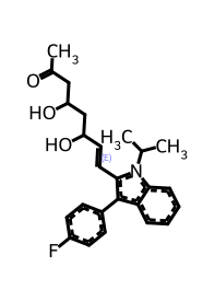 CC(=O)CC(O)CC(O)/C=C/c1c(-c2ccc(F)cc2)c2ccccc2n1C(C)C